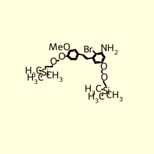 COc1cc(/C=C/c2cc(OCOCC[Si](C)(C)C)cc(N)c2Br)ccc1OCOCC[Si](C)(C)C